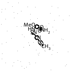 COc1ccc(S(N)(=O)=O)cc1Nc1nc(-c2ccc(N3CCN(C)CC3)nc2)cs1